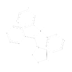 FC(c1cccnc1)(c1cccnc1)C(c1ccccc1)N1CCCC1